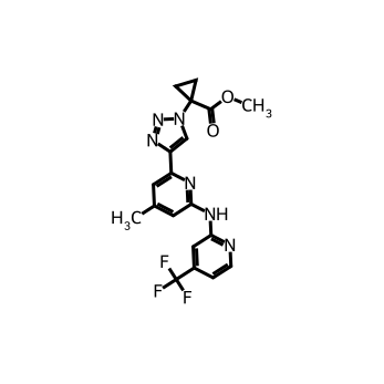 COC(=O)C1(n2cc(-c3cc(C)cc(Nc4cc(C(F)(F)F)ccn4)n3)nn2)CC1